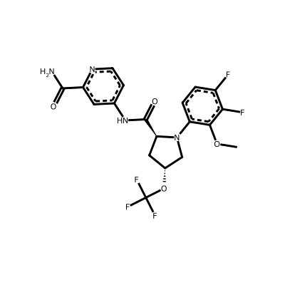 COc1c(N2C[C@H](OC(F)(F)F)C[C@H]2C(=O)Nc2ccnc(C(N)=O)c2)ccc(F)c1F